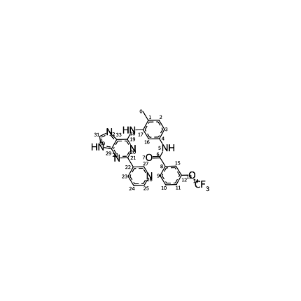 Cc1ccc(NC(=O)c2cccc(OC(F)(F)F)c2)cc1Nc1nc(-c2cccnc2)nc2[nH]cnc12